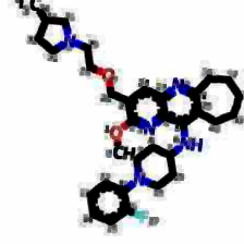 COc1nc2c(NC3CCN(c4ccccc4F)CC3)c3c(nc2cc1COCCN1CCC(C)C1)CCCCC3